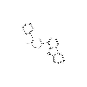 CC1=C(c2ccccc2)C=C(c2cccc3c2oc2ccccc23)CC1